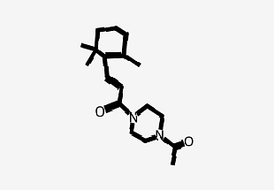 CC(=O)N1CCN(C(=O)/C=C/C2=C(C)CCCC2(C)C)CC1